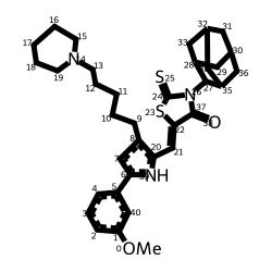 COc1cccc(-c2cc(CCCCCN3CCCCC3)c(/C=C3\SC(=S)N(C4C5CC6CC(C5)CC4C6)C3=O)[nH]2)c1